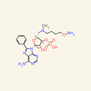 CN(CCCCON)C[C@H]1O[C@@H](n2c(-c3ccccc3)nc3c(N)ncnc32)[C@H](O)[C@@H]1OS(=O)(=O)O